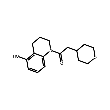 O=C(CC1CCOCC1)N1CCCc2c(O)cccc21